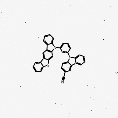 N#Cc1ccc2c(c1)c1ccccc1n2-c1cccc(-n2c3ccccc3c3cc4c(cc32)sc2ccccc24)c1